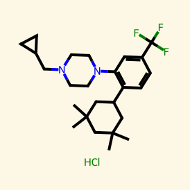 CC1(C)CC(c2ccc(C(F)(F)F)cc2N2CCN(CC3CC3)CC2)CC(C)(C)C1.Cl